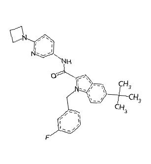 CC(C)(C)c1ccc2c(c1)cc(C(=O)Nc1ccc(N3CCC3)nc1)n2Cc1cccc(F)c1